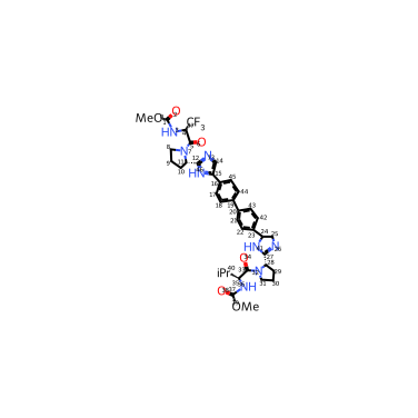 COC(=O)NC(C(=O)N1CCC[C@H]1c1ncc(-c2ccc(-c3ccc(C4CN=C([C@@H]5CCCN5C(=O)[C@@H](NC(=O)OC)C(C)C)N4)cc3)cc2)[nH]1)C(F)(F)F